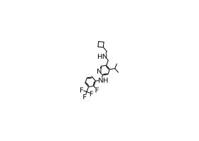 CC(C)c1cc(Nc2cccc(C(F)(F)F)c2F)ncc1CNCC1CCC1